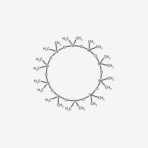 C[Si]1(C)O[Si](C)(C)O[Si](C)(C)O[Si](C)(C)O[Si](C)(C)O[Si](C)(C)O[Si](C)(C)O[Si](C)(C)O[Si](C)(C)O[Si](C)(C)O1